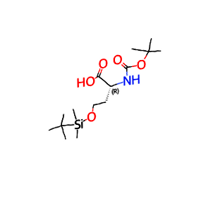 CC(C)(C)OC(=O)N[C@H](CCO[Si](C)(C)C(C)(C)C)C(=O)O